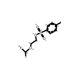 Cc1ccc(S(=O)(=O)OCCOC(C)F)cc1